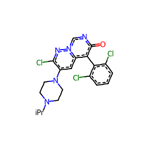 CC(C)N1CCN(c2cc3c(-c4c(Cl)cccc4Cl)c(=O)ncn3nc2Cl)CC1